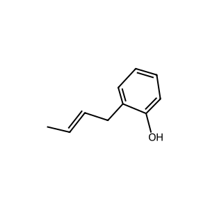 C/C=C/Cc1ccccc1O